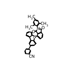 Cc1cc(C)c(N2C(=O)c3cccc(-n4c5ccccc5c5cc(-c6cccc(C#N)c6)ccc54)c3C2=O)c(C)c1